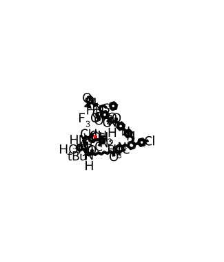 C=C(/C=C\C(=C/C)[C@H](C)NC(=O)[C@@H]1C[C@@H](O)CN1C(=O)[C@@H](NC(=O)CCCCCCC(=O)N1CCN(C[C@]2(C)CCC(c3ccc(Cl)cc3)=C(CN3CCN(c4ccc(C(=O)NS(=O)(=O)c5ccc(N[C@H](CCN6CCOCC67CC7)CSc6ccccc6)c(S(=O)(=O)C(F)(F)F)c5)cc4)CC3)C2)CC1)C(C)(C)C)c1scnc1C